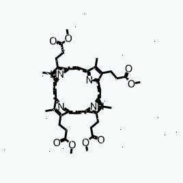 COC(=O)CCC1=C(C)c2cc3[nH]c(cc4nc(cc5[nH]c(cc1n2)c(C)c5CCC(=O)OC)C(CCC(=O)OC)=C4C)c(C)c3CCC(=O)OC